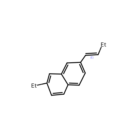 CC/C=C/c1ccc2ccc(CC)cc2c1